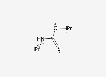 CC(C)NC(=S)OC(C)C